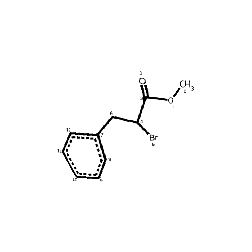 COC(=O)C(Br)Cc1ccccc1